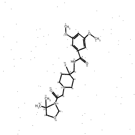 COc1cc(OC)cc(C(=O)NCC2(F)CCN(CC(=O)N3COCC3(C)C)CC2)c1